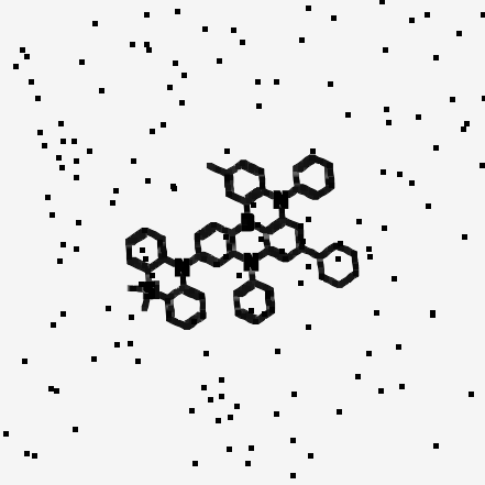 Cc1ccc2c(c1)B1c3ccc(N4c5ccccc5[Si](C)(C)c5ccccc54)cc3N(c3ccccc3)c3cc(C4CCCCC4)cc(c31)N2c1ccccc1